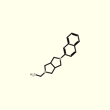 CCN1CC2CN(c3ccc4ccccc4c3)CC2C1